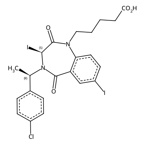 C[C@H](c1ccc(Cl)cc1)N1C(=O)c2cc(I)ccc2N(CCCCC(=O)O)C(=O)[C@@H]1I